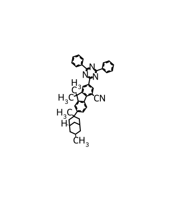 C[C@@H]1CC2C[C@@H](C1)CC(C)(c1ccc3c(c1)C(C)(C)c1cc(-c4nc(-c5ccccc5)nc(-c5ccccc5)n4)cc(C#N)c1-3)C2